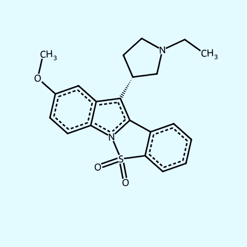 CCN1CC[C@@H](c2c3n(c4ccc(OC)cc24)S(=O)(=O)c2ccccc2-3)C1